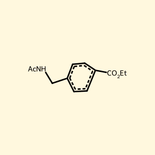 CCOC(=O)c1ccc(CNC(C)=O)cc1